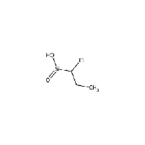 CCC(Cl)[Si](=O)O